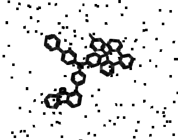 Cc1ccc(C2(c3ccc(N(c4ccc(-c5ccccc5)cc4)c4ccc(-c5cccc6c5oc5ccccc56)cc4)cc3)c3ccccc3-c3ccccc3-c3ccccc32)cc1